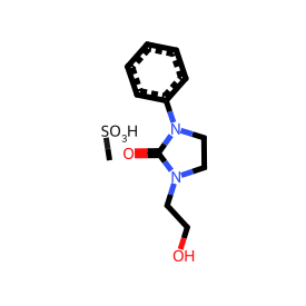 CS(=O)(=O)O.O=C1N(CCO)CCN1c1ccccc1